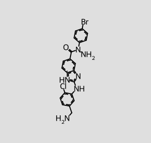 NCc1ccc(Cl)c(Nc2nc3cc(C(=O)N(N)c4ccc(Br)cc4)ccc3[nH]2)c1